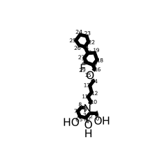 OCC1[C@H](O)C(O)CCN1CCCCCOCC1CCC(C2CCCCC2)CC1F